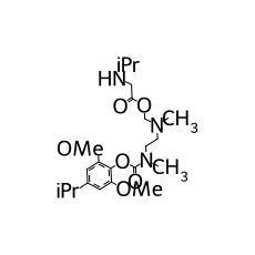 COc1cc(C(C)C)cc(OC)c1OC(=O)N(C)CCN(C)COC(=O)CNC(C)C